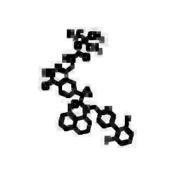 CC(C)(C)OC(=O)NCc1n[nH]c(=O)c2ccc(C3(C(=O)N(Cc4ccc(-c5c(F)cccc5F)cn4)C4CCCc5cccc(F)c54)CC3)cc12